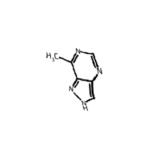 Cc1ncnc2c[nH]nc12